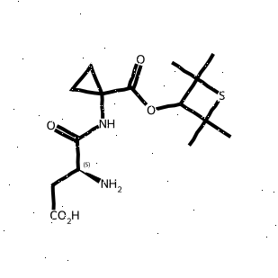 CC1(C)SC(C)(C)C1OC(=O)C1(NC(=O)[C@@H](N)CC(=O)O)CC1